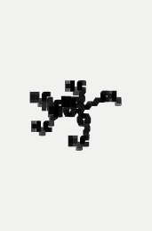 CCCCCCC(C(=C=[N+]=[N-])CCCC)=C(c1ccc(CC)cc1)c1ccc(CCCC)cc1.CCC[CH2][Pd][CH2]CCC